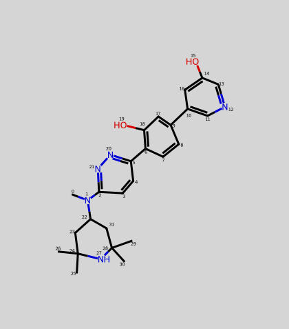 CN(c1ccc(-c2ccc(-c3cncc(O)c3)cc2O)nn1)C1CC(C)(C)NC(C)(C)C1